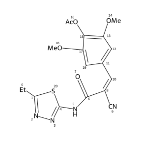 CCc1nnc(NC(=O)C(C#N)=Cc2cc(OC)c(OC(C)=O)c(OC)c2)s1